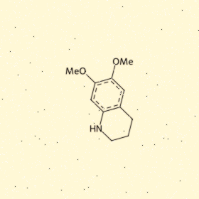 COc1cc2c(cc1OC)NCCC2